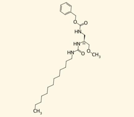 CCCCCCCCCCCCCNC(=O)N[C@@H](CNC(=O)OCc1ccccc1)COC